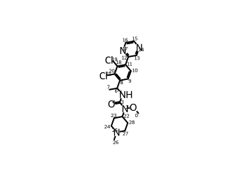 CON(C(=O)NC(C)c1ccc(-c2cnccn2)c(Cl)c1Cl)C1CCN(C)CC1